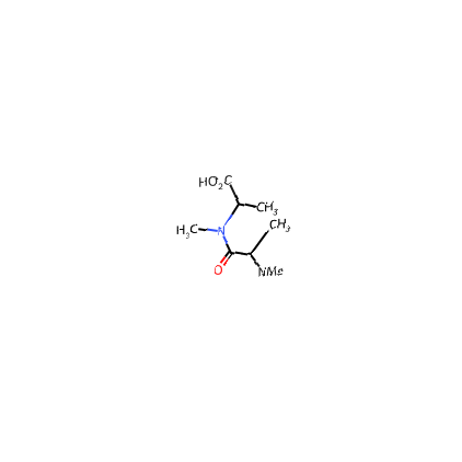 CNC(C)C(=O)N(C)C(C)C(=O)O